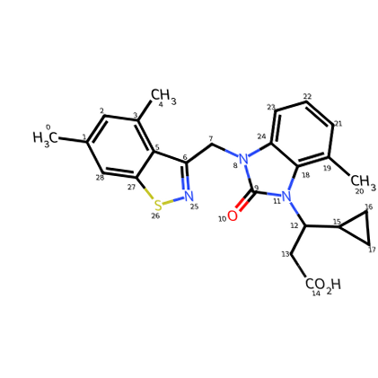 Cc1cc(C)c2c(Cn3c(=O)n(C(CC(=O)O)C4CC4)c4c(C)cccc43)nsc2c1